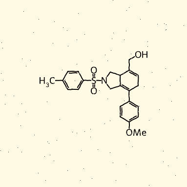 COc1ccc(C2=C3CN(S(=O)(=O)c4ccc(C)cc4)CC3C(CO)=CC2)cc1